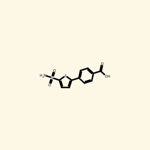 NS(=O)(=O)c1ccc(-c2ccc(C(=O)O)cc2)s1